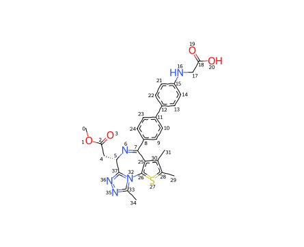 COC(=O)C[C@@H]1N=C(c2ccc(-c3ccc(NCC(=O)O)cc3)cc2)c2c(sc(C)c2C)-n2c(C)nnc21